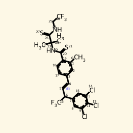 Cc1cc(/C=C/C(c2cc(Cl)c(Cl)c(Cl)c2)C(F)(F)F)ccc1C(=S)NC(C)(C)C(=S)NCC(F)(F)F